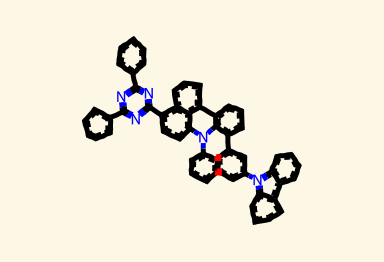 c1ccc(-c2nc(-c3ccccc3)nc(-c3ccc4c5c(cccc35)-c3cccc(-c5cccc(-n6c7ccccc7c7ccccc76)c5)c3N4c3ccccc3)n2)cc1